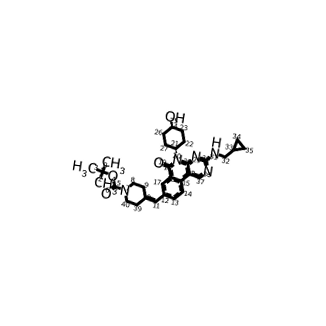 CC(C)(C)OC(=O)N1CCC(=Cc2ccc3c(c2)c(=O)n([C@H]2CC[C@H](O)CC2)c2nc(NCC4CC4)ncc32)CC1